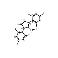 COC1N(c2c(C)cc(C)cc2C)CC(C)N1c1c(C)cc(C)cc1C